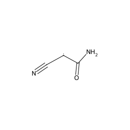 N#C[CH]C(N)=O